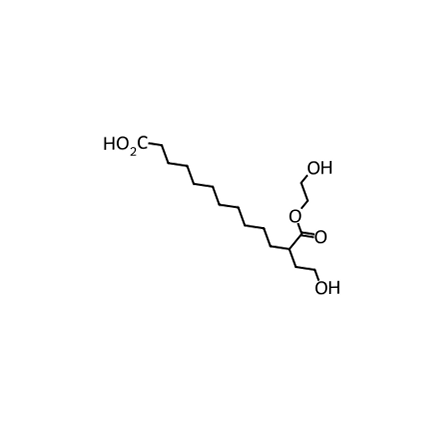 O=C(O)CCCCCCCCCCC(CCO)C(=O)OCCO